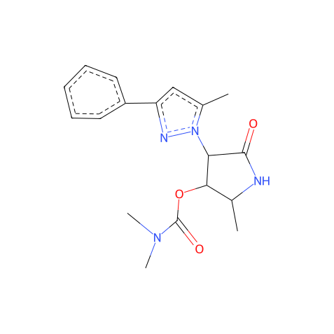 Cc1cc(-c2ccccc2)nn1C1C(=O)NC(C)C1OC(=O)N(C)C